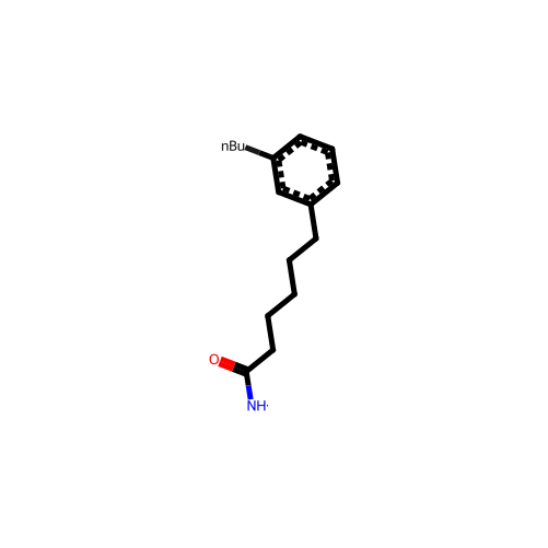 CCCCc1cccc(CCCCCC([NH])=O)c1